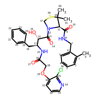 Cc1ccccc1CNC(=O)[C@H]1N(C(=O)[C@@H](O)[C@H](Cc2ccccc2)NC(=O)COc2cccnc2Cl)CSC1(C)C